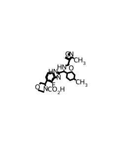 Cc1nocc1C(=O)N[C@H](c1nc2c(F)c(C3COCCN3C(=O)O)ccc2[nH]1)C1CCC(C)CC1